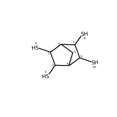 SC1C(S)C2CC1C(S)C2S